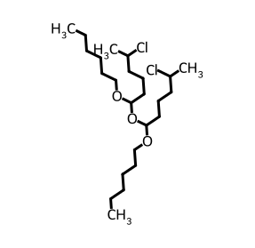 CCCCCCOC(CCCC(C)Cl)OC(CCCC(C)Cl)OCCCCCC